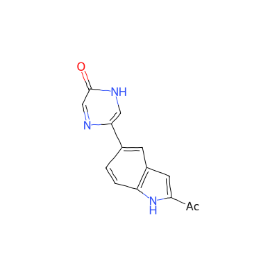 CC(=O)c1cc2cc(-c3c[nH]c(=O)cn3)ccc2[nH]1